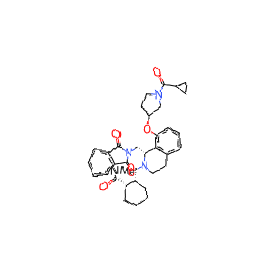 CNC(=O)[C@H]1CCCC[C@H]1C(=O)N1CCc2cccc(O[C@H]3CCN(C(=O)C4CC4)C3)c2[C@H]1CN1C(=O)c2ccccc2C1=O